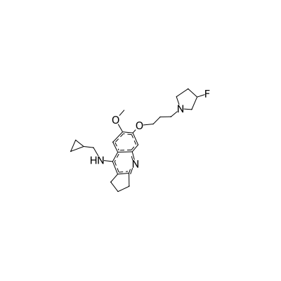 COc1cc2c(NCC3CC3)c3c(nc2cc1OCCCN1CCC(F)C1)CCC3